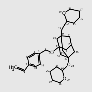 C=Cc1ccc(COC23CC4CC(CC5CCCCO5)(C2)CC(OC2CCCCO2)(C4)C3)cc1